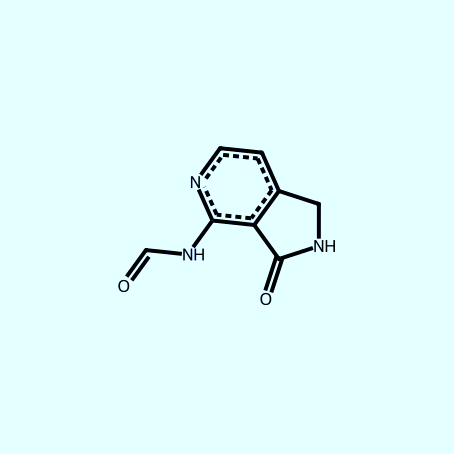 O=CNc1nccc2c1C(=O)NC2